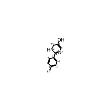 OC1=CN=C(c2ccc(F)cc2)NC1